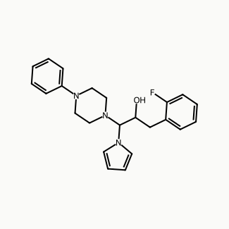 OC(Cc1ccccc1F)C(N1CCN(c2ccccc2)CC1)n1cccc1